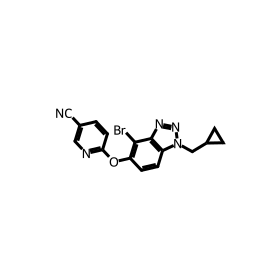 N#Cc1ccc(Oc2ccc3c(nnn3CC3CC3)c2Br)nc1